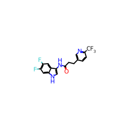 O=C(CCc1ccc(C(F)(F)F)nc1)Nc1c[nH]c2cc(F)c(F)cc12